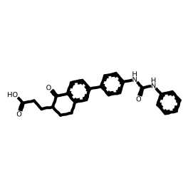 O=C(O)CCC1CCc2cc(-c3ccc(NC(=O)Nc4ccccc4)cc3)ccc2C1=O